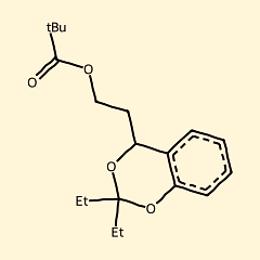 CCC1(CC)Oc2ccccc2C(CCOC(=O)C(C)(C)C)O1